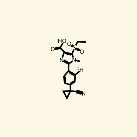 [2H]c1cc(C2(C#N)CC2)ccc1-c1nc(C(=O)O)c(S(=O)(=O)CC)n1C